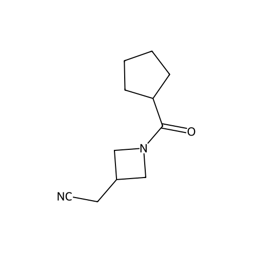 N#CCC1CN(C(=O)C2CCCC2)C1